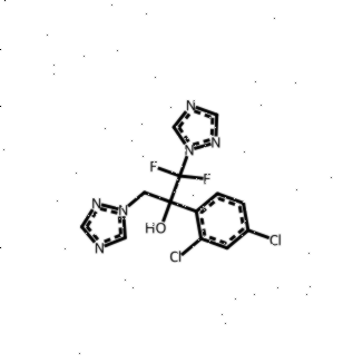 OC(Cn1cncn1)(c1ccc(Cl)cc1Cl)C(F)(F)n1cncn1